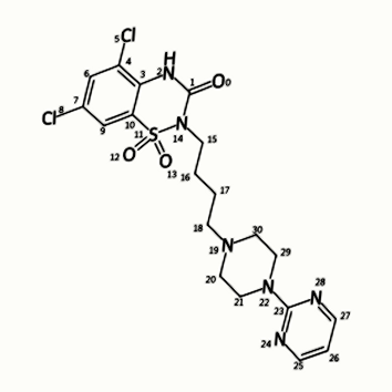 O=C1Nc2c(Cl)cc(Cl)cc2S(=O)(=O)N1CCCCN1CCN(c2ncccn2)CC1